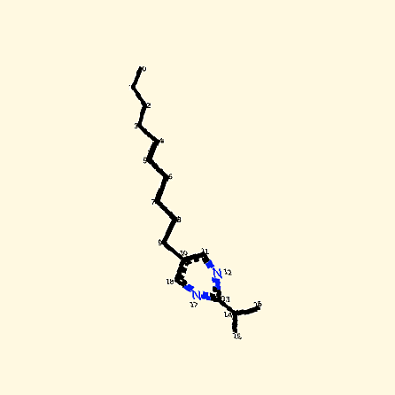 CCCCCCCCCCc1cnc(C(C)C)nc1